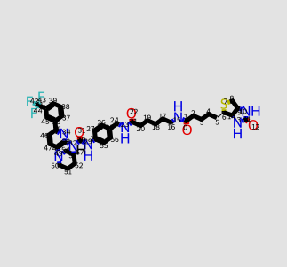 O=C(CCCC[C@@H]1SCC2NC(=O)NC21)NCCCCCC(=O)NCc1ccc(NC(=O)N2c3nc(-c4cccc(C(F)(F)F)c4)ccc3N3CCC[C@@H]2C3)cc1